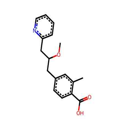 COC(Cc1ccc(C(=O)O)c(C)c1)Cc1ccccn1